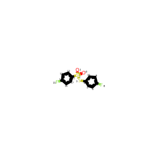 O=S(=O)(Sc1ccc(F)cc1)c1ccc(F)cc1